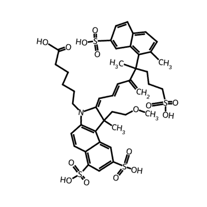 C=C(/C=C/C=C1/N(CCCCCC(=O)O)c2ccc3c(S(=O)(=O)O)cc(S(=O)(=O)O)cc3c2C1(C)CCOC)C(C)(CCCS(=O)(=O)O)c1c(C)ccc2ccc(S(=O)(=O)O)cc12